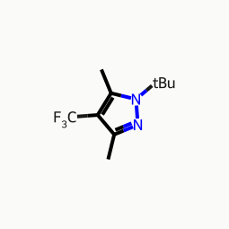 Cc1nn(C(C)(C)C)c(C)c1C(F)(F)F